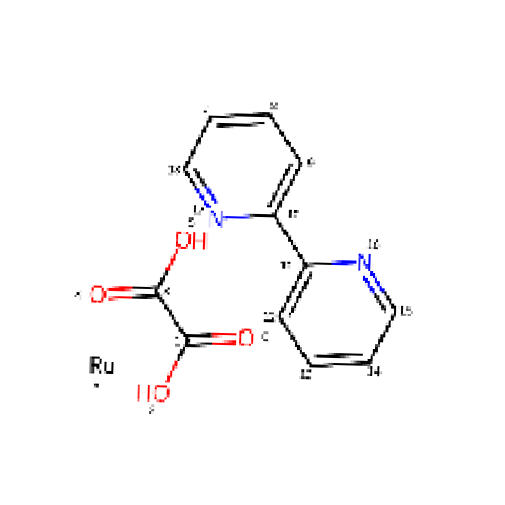 O=C(O)C(=O)O.[Ru].c1ccc(-c2ccccn2)nc1